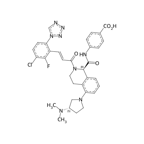 CN(C)[C@H]1CCN(c2cccc3c2CCN(C(=O)C=Cc2c(-n4cnnn4)ccc(Cl)c2F)[C@H]3C(=O)Nc2ccc(C(=O)O)cc2)C1